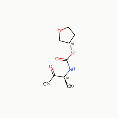 CC(C)(C)[C@H](NC(=O)O[C@H]1CCOC1)C(=O)N=O